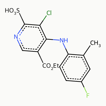 CCOC(=O)c1cnc(S(=O)(=O)O)c(Cl)c1Nc1ccc(F)cc1C